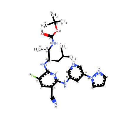 CC(C)C[C@@H](Nc1nc(Nc2cncc(-n3cccn3)c2)c(C#N)cc1F)[C@H](C)NC(=O)OC(C)(C)C